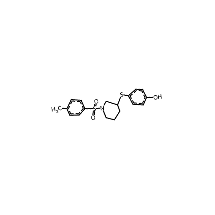 Cc1ccc(S(=O)(=O)N2CCCC(Sc3ccc(O)cc3)C2)cc1